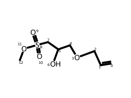 C=CCOCC(O)CS(=O)(=O)OC